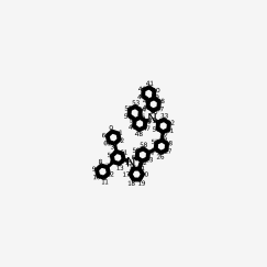 c1ccc(-c2cc(-c3ccccc3)cc(-n3c4ccccc4c4cc(-c5cccc(-c6cccc(N(c7ccc8ccccc8c7)c7cccc8ccccc78)c6)c5)ccc43)c2)cc1